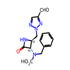 O=Cc1cnn(C[C@@H]2NC(=O)[C@H]2N(Cc2ccccc2)C(=O)O)n1